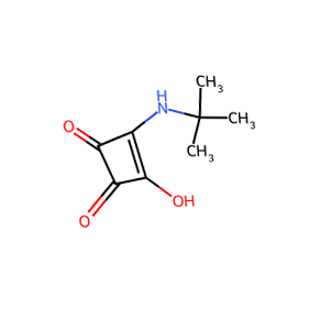 CC(C)(C)Nc1c(O)c(=O)c1=O